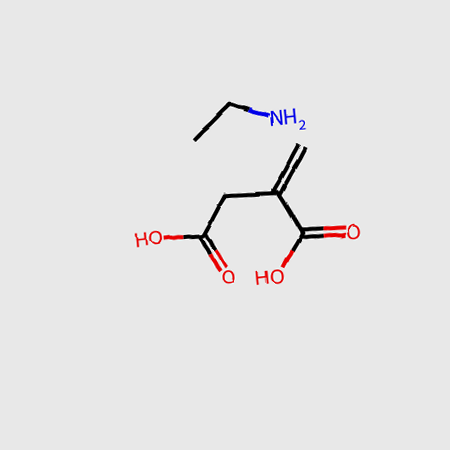 C=C(CC(=O)O)C(=O)O.CCN